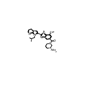 COc1cc(C(=O)N2CCC[C@@H](N)C2)cc2nc(-c3cc4cccnc4n3CC(C)C)n(C)c12